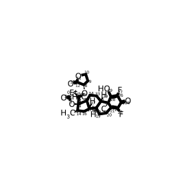 CCC(=O)O[C@]1(C(=S)O[C@H]2CCOC2=O)[C@H](C)C[C@H]2[C@@H]3CCC4=C(F)C(=O)C(F)=C(O)[C@]4(C)[C@H]3CC[C@@]21C